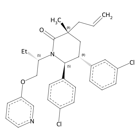 C=CC[C@]1(C)C[C@H](c2cccc(Cl)c2)[C@@H](c2ccc(Cl)cc2)N([C@@H](CC)COc2cccnc2)C1=O